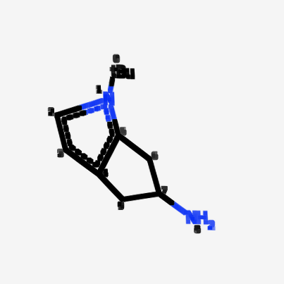 CC(C)(C)n1ccc2c1CC(N)C2